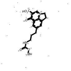 CC(C)(C)OC(=O)NCCCc1cc2c3c(c1)c(=O)c(C(=O)O)cn3CC2